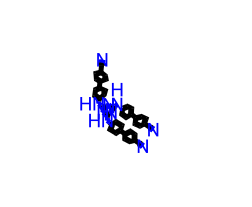 N#Cc1ccc(-c2ccc(Nc3nc(Nc4ccc(-c5ccc(C#N)cc5)cc4)nc(Nc4ccc(-c5ccc(C#N)cc5)cc4)n3)cc2)cc1